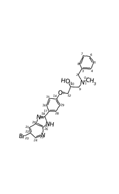 CN(Cc1ccccc1)CC(O)COc1ccc(-c2nc3cc(Br)cnc3[nH]2)cc1